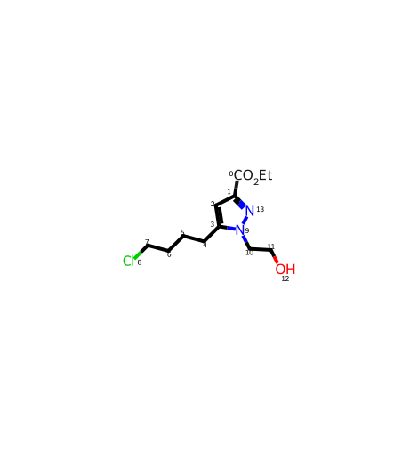 CCOC(=O)c1cc(CCCCCl)n(CCO)n1